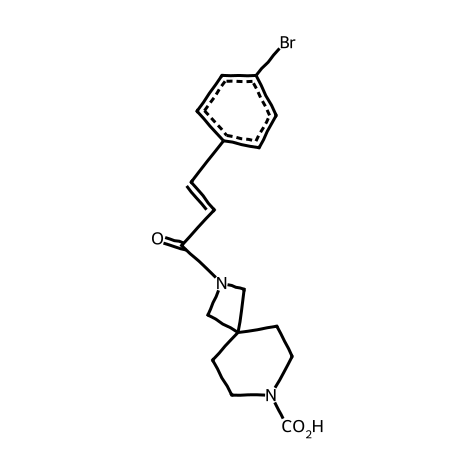 O=C(O)N1CCC2(CC1)CN(C(=O)C=Cc1ccc(Br)cc1)C2